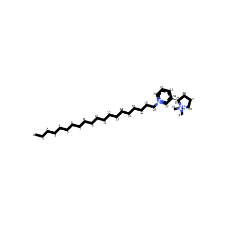 CCCCCCCCCCCCCCCCCCCC[n+]1cccc([C@@H]2CCC[N+]2(C)C)c1